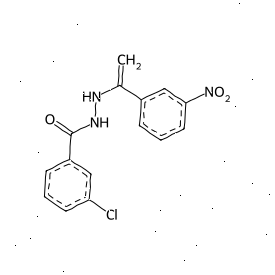 C=C(NNC(=O)c1cccc(Cl)c1)c1cccc([N+](=O)[O-])c1